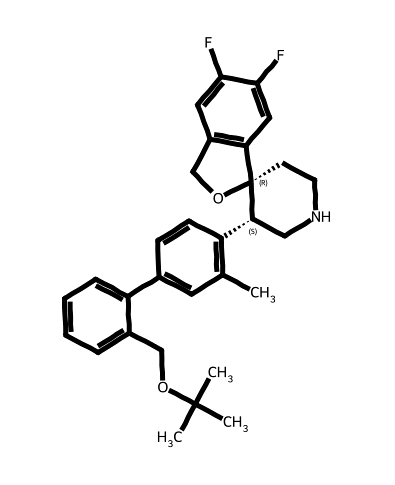 Cc1cc(-c2ccccc2COC(C)(C)C)ccc1[C@H]1CNCC[C@@]12OCc1cc(F)c(F)cc12